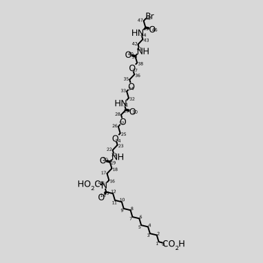 O=C(O)CCCCCCCCCCCCC(=O)N(CCCC(=O)NCCOCCOCC(=O)NCCOCCOCC(=O)NCCNC(=O)CBr)C(=O)O